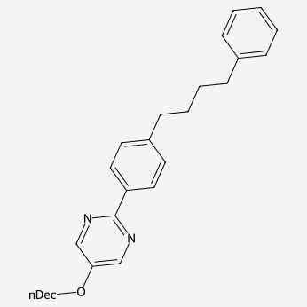 CCCCCCCCCCOc1cnc(-c2ccc(CCCCc3ccccc3)cc2)nc1